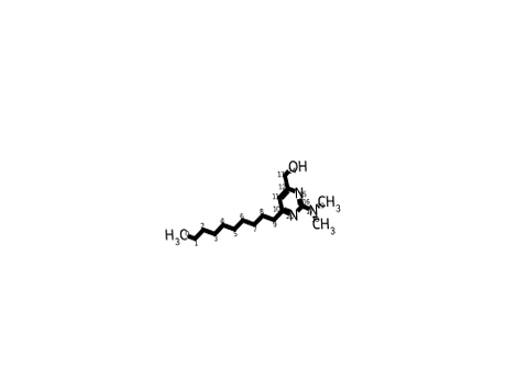 CCCCCCCCCCc1cc(CO)nc(N(C)C)n1